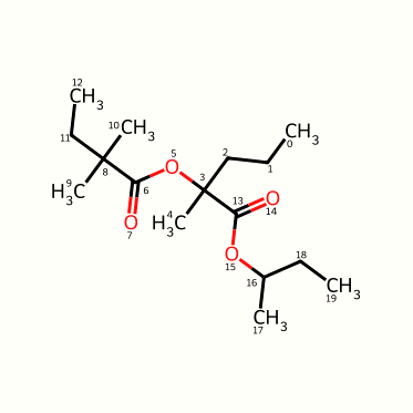 CCCC(C)(OC(=O)C(C)(C)CC)C(=O)OC(C)CC